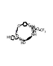 O=C1NCC(CN2CCNCC2)OC/C=C/COc2ccc(cc2)CNc2nc(nc(OCC(F)(F)F)n2)Nc2ccc1cc2